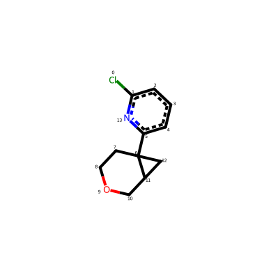 Clc1cccc(C23CCOCC2C3)n1